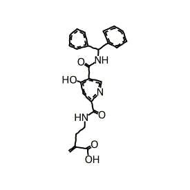 C=C(CCNC(=O)c1cc(O)c(C(=O)NC(c2ccccc2)c2ccccc2)cn1)C(=O)O